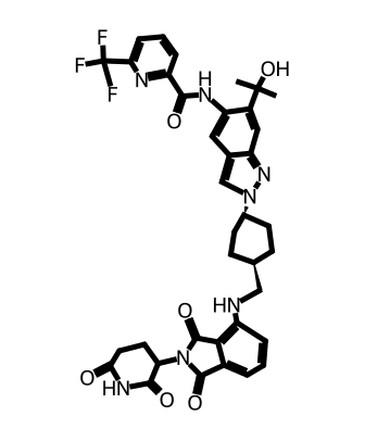 CC(C)(O)c1cc2nn([C@H]3CC[C@H](CNc4cccc5c4C(=O)N(C4CCC(=O)NC4=O)C5=O)CC3)cc2cc1NC(=O)c1cccc(C(F)(F)F)n1